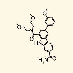 COCCN(CCOC)C(=O)c1cc(-c2cccc(OC)c2)cc2c1[nH]c1cc(C(N)=O)ccc12